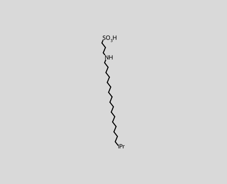 CC(C)CCCCCCCCCCCCCCCCCNCCCS(=O)(=O)O